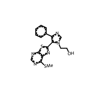 CSc1ncnc2sc(-c3c(-c4ccccc4)ncn3CCO)nc12